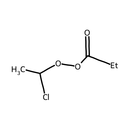 CCC(=O)OOC(C)Cl